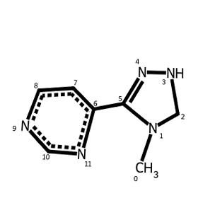 CN1CNN=C1c1ccncn1